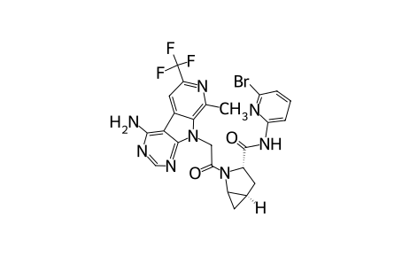 Cc1nc(C(F)(F)F)cc2c3c(N)ncnc3n(CC(=O)N3C4C[C@@H]4C[C@H]3C(=O)Nc3cccc(Br)n3)c12